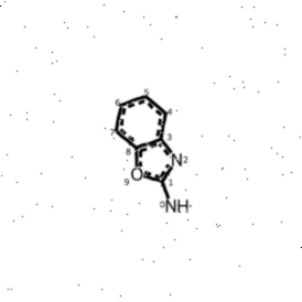 [NH]c1nc2ccccc2o1